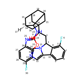 OC(CC1c2c(F)cccc2-c2cncn21)C12CC3CC(C1)C(Nc1nc4ccc(F)cc4o1)[C@H](C3)C2